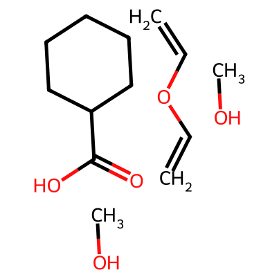 C=COC=C.CO.CO.O=C(O)C1CCCCC1